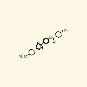 CCCCCCCCCC[C@H]1CC[C@H](c2cnc(-c3ccc(OC(=O)[C@H]4CC[C@H](CCC)CC4)cc3)nc2)CC1